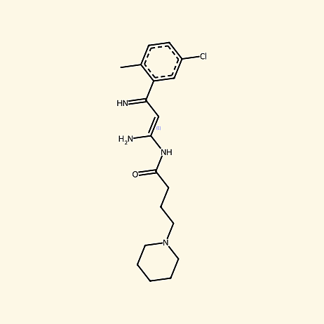 Cc1ccc(Cl)cc1C(=N)/C=C(\N)NC(=O)CCCN1CCCCC1